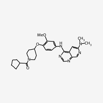 COc1cc(Nc2ncnc3cnc(N(C)C)cc23)ccc1OC1CCN(C(=O)C2CCCC2)CC1